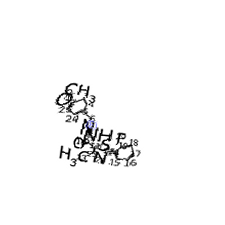 COc1ccc(/C=N/NC(=O)c2sc(-c3ccccc3F)nc2C)cc1